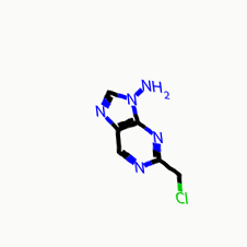 Nn1cnc2cnc(CCl)nc21